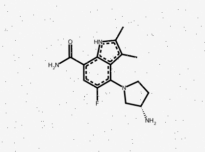 Cc1[nH]c2c(C(N)=O)cc(F)c(N3CC[C@H](N)C3)c2c1C